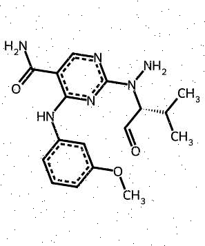 COc1cccc(Nc2nc(N(N)[C@@H](C=O)C(C)C)ncc2C(N)=O)c1